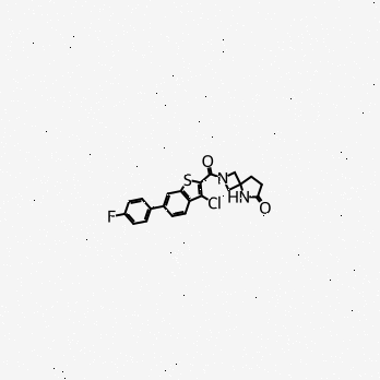 O=C1CCC2(CN(C(=O)c3sc4cc(-c5ccc(F)cc5)ccc4c3Cl)C2)N1